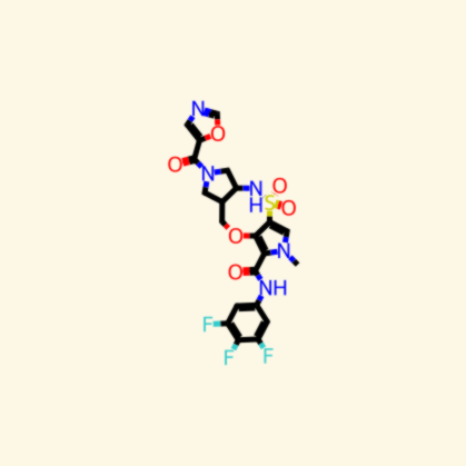 Cn1cc2c(c1C(=O)Nc1cc(F)c(F)c(F)c1)OCC1CN(C(=O)c3cnco3)CC1NS2(=O)=O